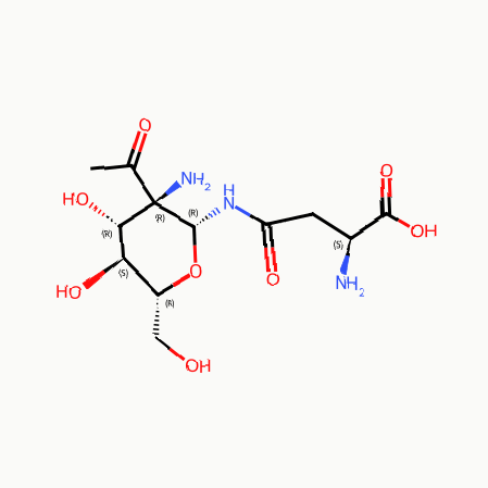 CC(=O)[C@]1(N)[C@H](NC(=O)C[C@H](N)C(=O)O)O[C@H](CO)[C@@H](O)[C@@H]1O